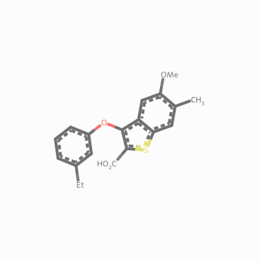 CCc1cccc(Oc2c(C(=O)O)sc3cc(C)c(OC)cc23)c1